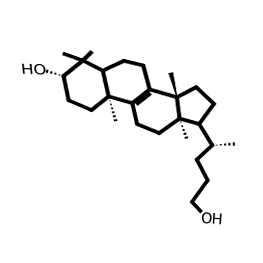 C[C@H](CCCO)C1CC[C@@]2(C)C3=C(CC[C@]12C)[C@@]1(C)CC[C@H](O)C(C)(C)C1CC3